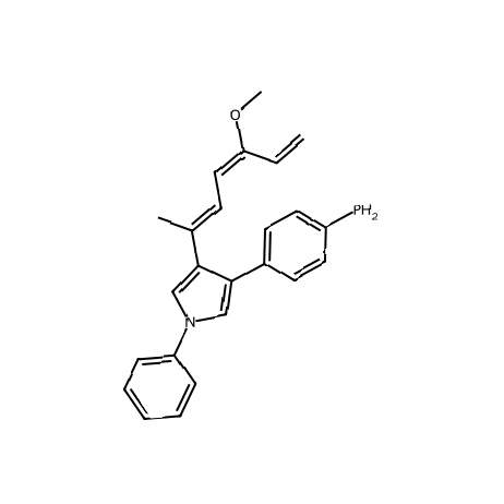 C=C/C(=C\C=C(/C)c1cn(-c2ccccc2)cc1-c1ccc(P)cc1)OC